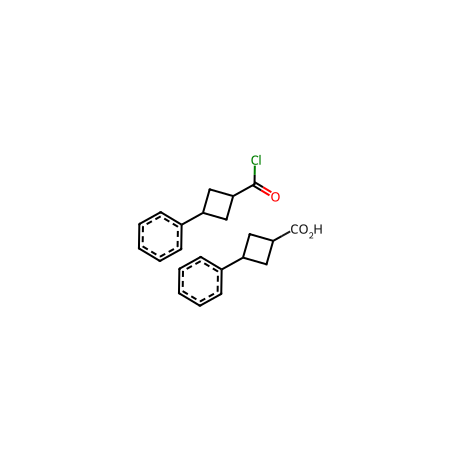 O=C(Cl)C1CC(c2ccccc2)C1.O=C(O)C1CC(c2ccccc2)C1